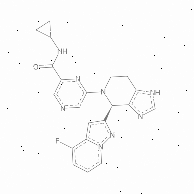 O=C(NC1CC1)c1cncc(N2CCc3[nH]cnc3[C@H]2c2cc3c(F)cccn3n2)n1